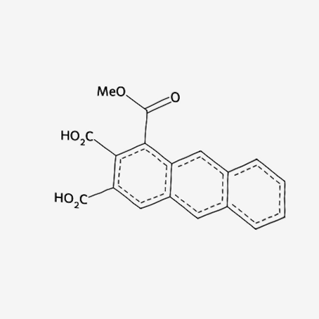 COC(=O)c1c(C(=O)O)c(C(=O)O)cc2cc3ccccc3cc12